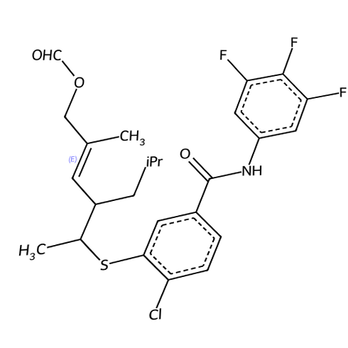 C/C(=C\C(CC(C)C)C(C)Sc1cc(C(=O)Nc2cc(F)c(F)c(F)c2)ccc1Cl)COC=O